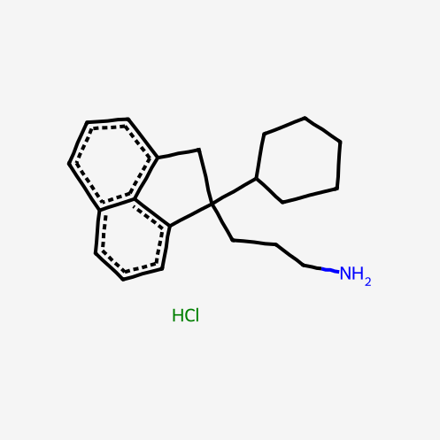 Cl.NCCCC1(C2CCCCC2)Cc2cccc3cccc1c23